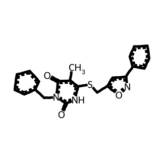 Cc1c(SCc2cc(-c3ccccc3)no2)[nH]c(=O)n(Cc2ccccc2)c1=O